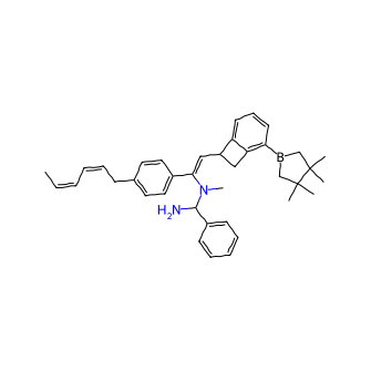 C/C=C\C=C/Cc1ccc(/C(=C/C2Cc3c(B4CC(C)(C)C(C)(C)C4)cccc32)N(C)C(N)c2ccccc2)cc1